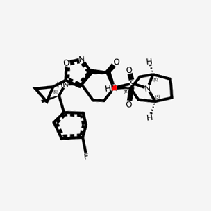 C[C@@H](NC1CCN(S(=O)(=O)N2[C@@H]3CC[C@H]2C[C@@H](NC(=O)c2cc(C4CC4)on2)C3)CC1)c1ccc(F)cc1